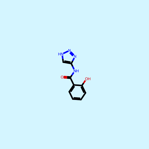 O=C(Nc1c[nH]nn1)c1ccccc1O